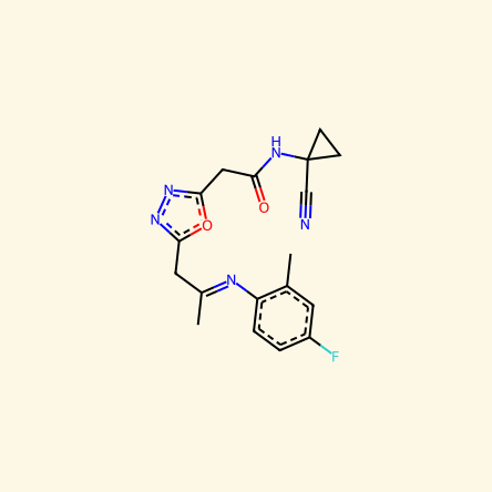 C/C(Cc1nnc(CC(=O)NC2(C#N)CC2)o1)=N\c1ccc(F)cc1C